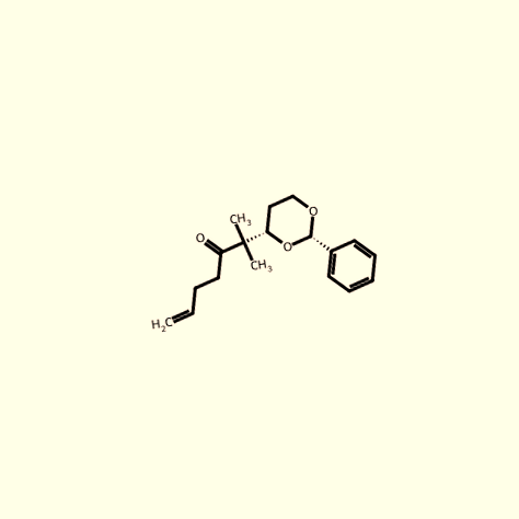 C=CCCC(=O)C(C)(C)[C@@H]1CCO[C@H](c2ccccc2)O1